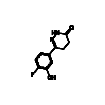 O=C1CCC(c2ccc(F)c(O)c2)=NN1